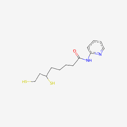 O=C(CCCCC(S)CCS)Nc1ccccn1